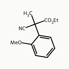 CCOC(=O)C(C)(C#N)c1ccccc1OC